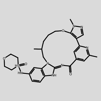 Cc1cc2cc(n1)-c1cnn(C)c1OCCCC(C)CN1/C(=N/C2=O)Nc2ccc(N[SH]3(=O)CCOCC3)cc21